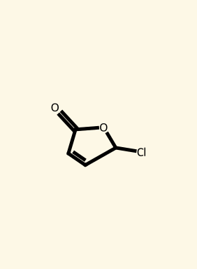 O=C1C=CC(Cl)O1